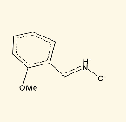 COc1ccccc1C=[NH+][O-]